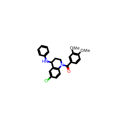 COc1ccc(C(=O)N2CCC(Nc3ccccc3)c3cc(Cl)ccc32)cc1OC